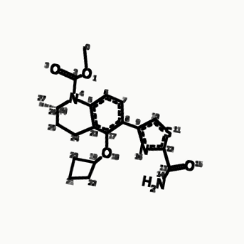 COC(=O)N1c2ccc(-c3csc(C(N)=O)n3)c(OC3CCC3)c2CC[C@@H]1C